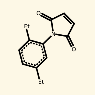 CCc1ccc(CC)c(N2C(=O)C=CC2=O)c1